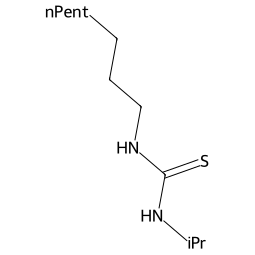 CCCCCCCCNC(=S)NC(C)C